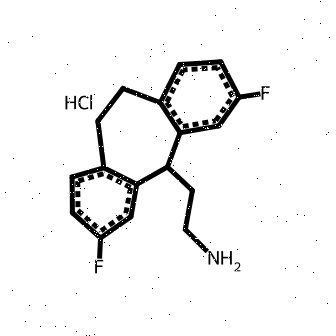 Cl.NCCC1c2cc(F)ccc2CCc2ccc(F)cc21